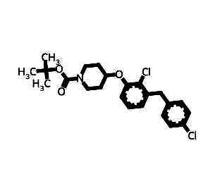 CC(C)(C)OC(=O)N1CCC(Oc2cccc(Cc3ccc(Cl)cc3)c2Cl)CC1